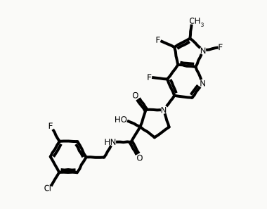 Cc1c(F)c2c(F)c(N3CCC(O)(C(=O)NCc4cc(F)cc(Cl)c4)C3=O)cnc2n1F